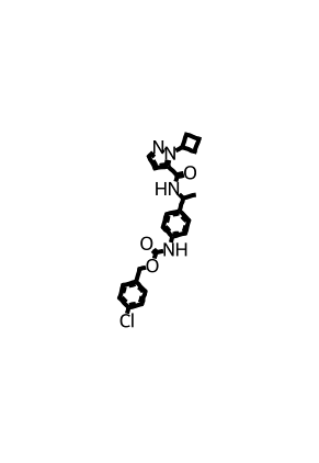 CC(NC(=O)c1ccnn1C1CCC1)c1ccc(NC(=O)OCc2ccc(Cl)cc2)cc1